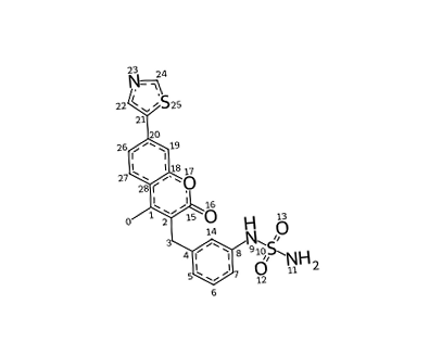 Cc1c(Cc2cccc(NS(N)(=O)=O)c2)c(=O)oc2cc(-c3cncs3)ccc12